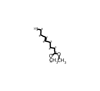 COC(CCC/C=C/CCI)OC